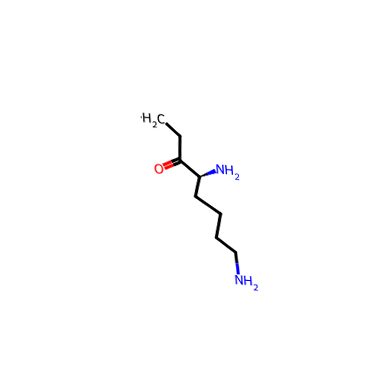 [CH2]CC(=O)[C@@H](N)CCCCN